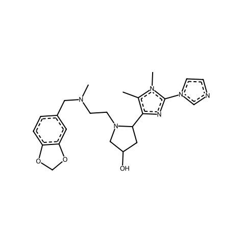 Cc1c(C2CC(O)CN2CCN(C)Cc2ccc3c(c2)OCO3)nc(-n2ccnc2)n1C